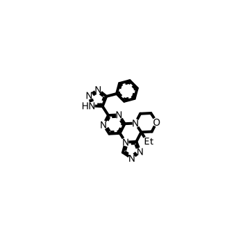 CCC12COCCN1c1nc(-c3[nH]nnc3-c3ccccc3)ncc1-n1cnnc12